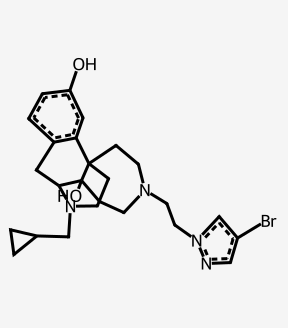 Oc1ccc2c(c1)C13CCN(CCn4cc(Br)cn4)CCC1(O)C(C2)N(CC1CC1)CC3